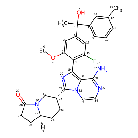 CCOc1cc([C@](C)(O)c2cccc(C(F)(F)F)c2)cc(F)c1-c1nc([C@@H]2CC[C@H]3CCC(=O)N3C2)n2ccnc(N)c12